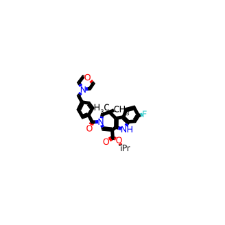 CC(C)OC(=O)C1=CN(C(=O)c2ccc(CN3CCOCC3)cc2)CC(C)(C)c2c1[nH]c1cc(F)ccc21